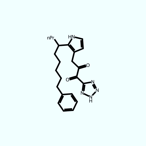 CCCC(CCCCCc1ccccc1)c1[nH]ccc1CC(=O)C(=O)c1nn[nH]n1